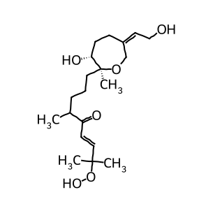 CC(CCC[C@]1(C)OCC(=CCO)CC[C@H]1O)C(=O)C=CC(C)(C)OO